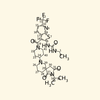 CCNC(=O)Nc1sc2nc(C(F)(F)F)ccc2c1C(=O)N1CCC(N2CCCC3(CC(=O)N(C(C)C)C3=O)C2)CC1